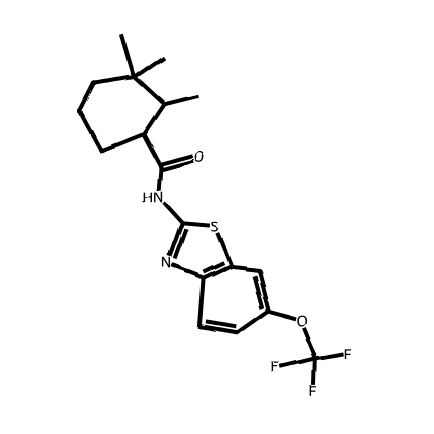 CC1C(C(=O)Nc2nc3ccc(OC(F)(F)F)cc3s2)CCCC1(C)C